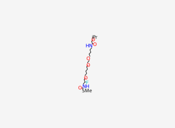 CSC(=O)NCC(F)COCCCCCOCCOCCCCCNC(=O)COC(C)C